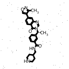 Cc1nocc1-c1ccc2c(=O)n([C@H](C)c3cccc(C(=O)NCC4CCNCC4)c3)cnc2c1